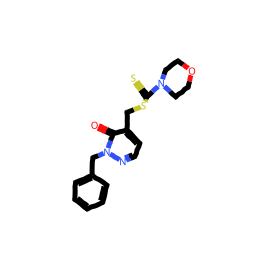 O=c1c(CSC(=S)N2CCOCC2)ccnn1Cc1ccccc1